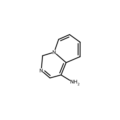 NC1=C2C=CC=CN2CN=C1